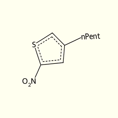 CCCCCc1csc([N+](=O)[O-])c1